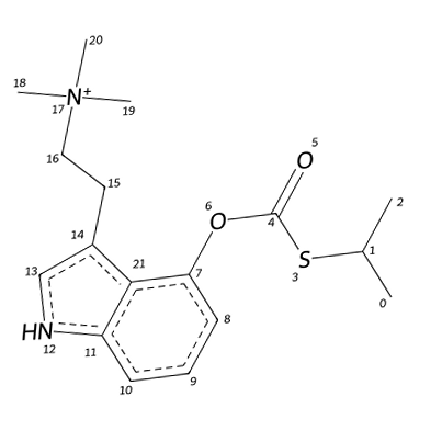 CC(C)SC(=O)Oc1cccc2[nH]cc(CC[N+](C)(C)C)c12